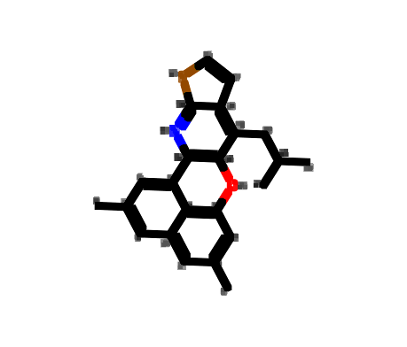 Cc1cc2c3c(cc(C)cc3c1)-c1nc3sccc3c(CC(C)C)c1O2